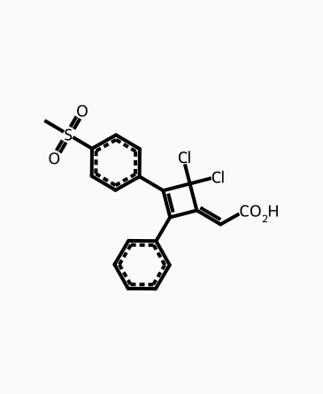 CS(=O)(=O)c1ccc(C2=C(c3ccccc3)/C(=C/C(=O)O)C2(Cl)Cl)cc1